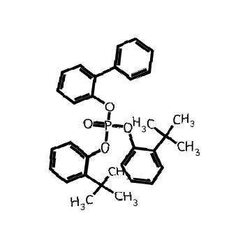 CC(C)(C)c1ccccc1OP(=O)(Oc1ccccc1-c1ccccc1)Oc1ccccc1C(C)(C)C